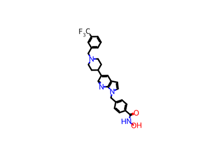 O=C(NO)c1ccc(Cn2ccc3cc(C4CCN(Cc5cccc(C(F)(F)F)c5)CC4)cnc32)cc1